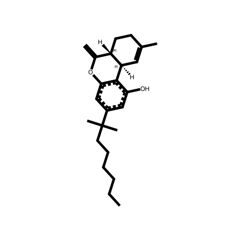 C=C1Oc2cc(C(C)(C)CCCCCC)cc(O)c2[C@@H]2C=C(C)CC[C@@H]12